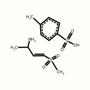 CC(N)C=CS(C)(=O)=O.Cc1ccc(S(=O)(=O)O)cc1